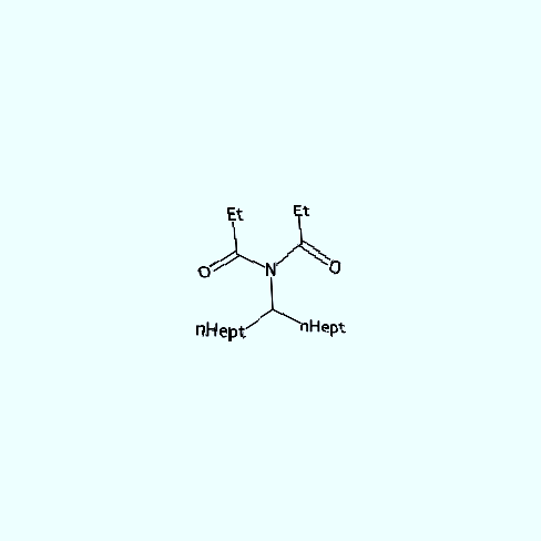 CCCCCCCC(CCCCCCC)N(C(=O)CC)C(=O)CC